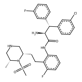 C[C@@H]1CNC[C@H](CCc2c(F)cccc2NC(=O)[C@@H](N)[C@H](c2cccc(F)c2)c2cccc(Cl)c2)N1S(C)(=O)=O